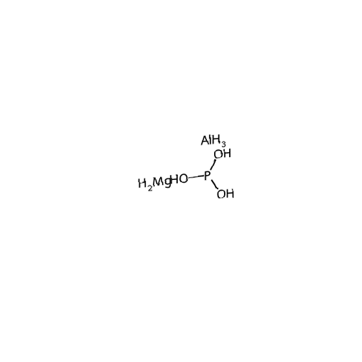 OP(O)O.[AlH3].[MgH2]